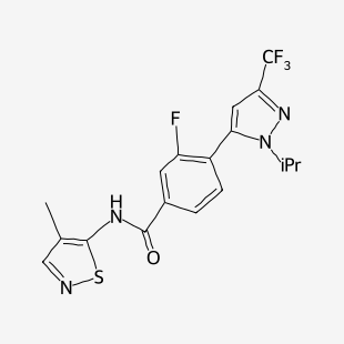 Cc1cnsc1NC(=O)c1ccc(-c2cc(C(F)(F)F)nn2C(C)C)c(F)c1